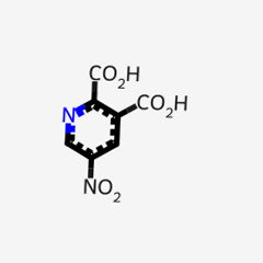 O=C(O)c1cc([N+](=O)[O-])cnc1C(=O)O